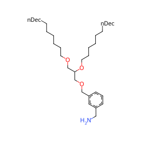 CCCCCCCCCCCCCCCCOCC(COCc1cccc(CN)c1)OCCCCCCCCCCCCCCCC